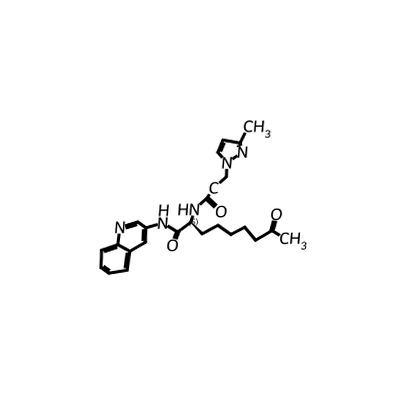 CC(=O)CCCCC[C@H](NC(=O)CCn1ccc(C)n1)C(=O)Nc1cnc2ccccc2c1